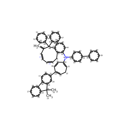 C=C1/C=C\C=C/Cc2c(N(C3=CCC=C(c4ccc5c(c4)C(C)(C)c4ccccc4-5)C=C3)c3ccc(-c4ccccc4)cc3)cccc2C1(c1ccccc1)c1ccccc1